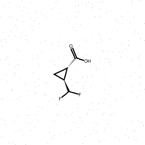 O=C(O)[C@H]1C[C@@H]1C(F)F